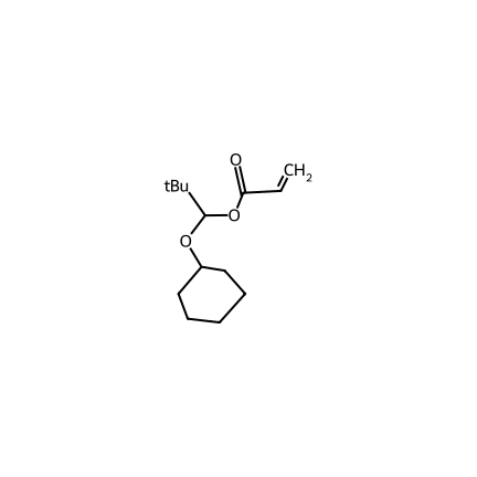 C=CC(=O)OC(OC1CCCCC1)C(C)(C)C